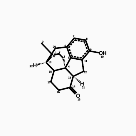 CN1CC[C@]23c4c5ccc(O)c4C[C@H]2C(=O)CCC3[C@H]1C5